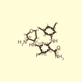 Cc1cc(C)cc(Nc2nc(N[C@@H]3CCOC[C@@H]3N)c(F)cc2C(N)=O)c1